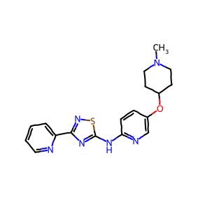 CN1CCC(Oc2ccc(Nc3nc(-c4ccccn4)ns3)nc2)CC1